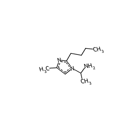 CCCCc1nc(C)cn1C(C)N